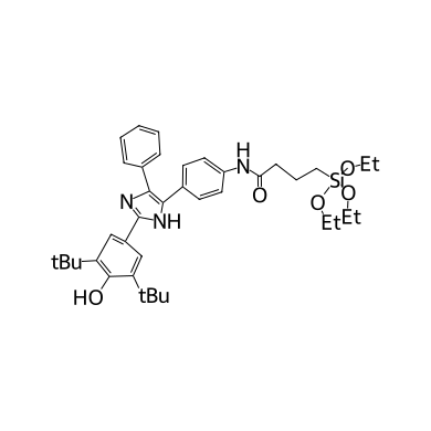 CCO[Si](CCCC(=O)Nc1ccc(-c2[nH]c(-c3cc(C(C)(C)C)c(O)c(C(C)(C)C)c3)nc2-c2ccccc2)cc1)(OCC)OCC